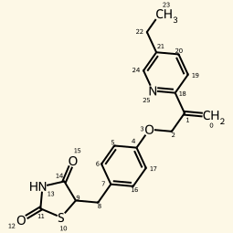 C=C(COc1ccc(CC2SC(=O)NC2=O)cc1)c1ccc(CC)cn1